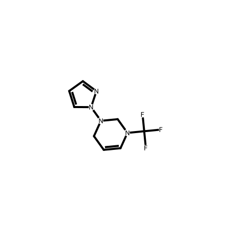 FC(F)(F)N1C=CCN(n2cccn2)C1